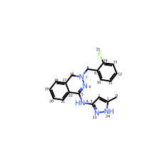 Cc1cc(NC2=NN(Cc3ccccc3F)Cc3ccccc32)n[nH]1